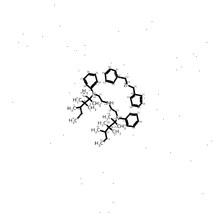 CCC(C)C(C)(C)C(C)(C)N(CCNCCN(c1ccccc1)C(C)(C)C(C)(C)C(C)CC)c1ccccc1.c1ccc([CH2][Zr][CH2]c2ccccc2)cc1